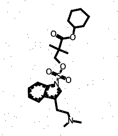 CN(C)CCc1cn(S(=O)(=O)OCC(C)(C)C(=O)OC2CCCCC2)c2ccccc12